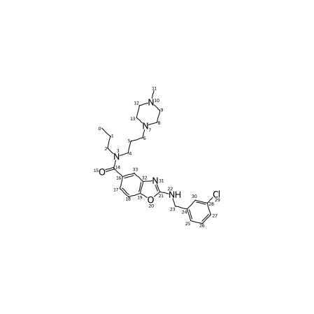 CCCN(CCCN1CCN(C)CC1)C(=O)c1ccc2oc(NCc3cccc(Cl)c3)nc2c1